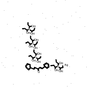 CCC(O)P(C(O)CC)C(O)CC.CCC(O)P(C(O)CC)C(O)CC.CCC(O)P(C(O)CC)C(O)CC.CCC(O)P(C(O)CC)C(O)CC.O=C(C=Cc1ccccc1)C=Cc1ccccc1.[Pd]